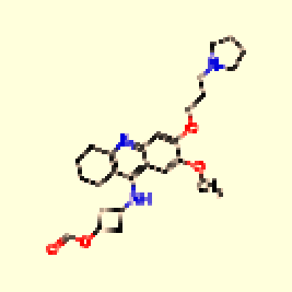 COc1cc2c(NC3CC(OC=O)C3)c3c(nc2cc1OCCCN1CCCC1)CCCC3